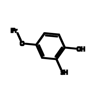 CC(C)Oc1ccc(O)c(S)c1